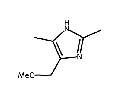 COCc1nc(C)[nH]c1C